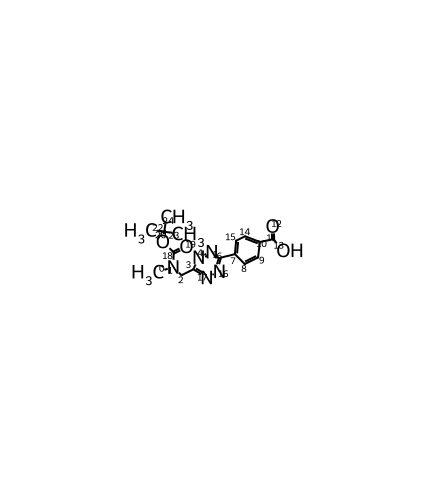 CN(Cc1nnc(-c2ccc(C(=O)O)cc2)nn1)C(=O)OC(C)(C)C